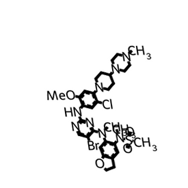 COc1cc(N2CCC(N3CCN(C)CC3)CC2)c(Cl)cc1Nc1ncc(Br)c(N(C)c2cc3c(cc2N(C)S(C)(=O)=O)CCO3)n1